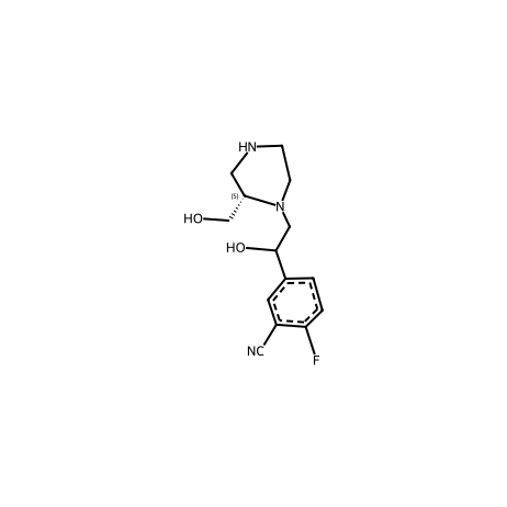 N#Cc1cc(C(O)CN2CCNC[C@H]2CO)ccc1F